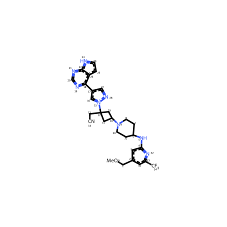 COCc1cc(NC2CCN(C3CC(CC#N)(n4cc(-c5ncnc6[nH]ccc56)cn4)C3)CC2)nc(C(F)(F)F)c1